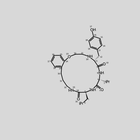 CC(C)C[C@@H]1NC(=O)[C@@H](C(C)C)NC(=O)[C@@H](Cc2ccc(O)cc2)NCCOc2ccccc2CCCNC1=O